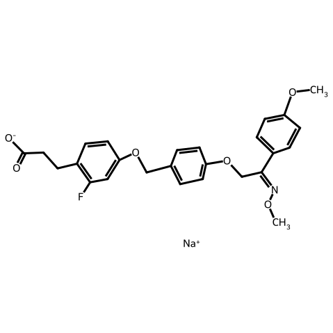 CO/N=C(\COc1ccc(COc2ccc(CCC(=O)[O-])c(F)c2)cc1)c1ccc(OC)cc1.[Na+]